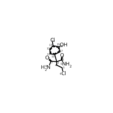 NC(=O)C(CCCl)(C(N)=O)c1ccc(Cl)c(O)c1